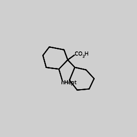 CCCCCCCC1CCCCC1(C(=O)O)C1CCCCC1